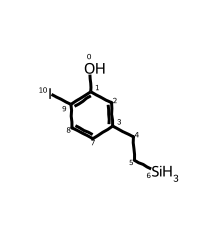 Oc1cc(CC[SiH3])ccc1I